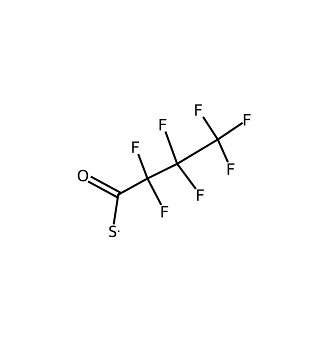 O=C([S])C(F)(F)C(F)(F)C(F)(F)F